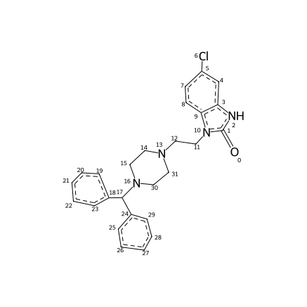 O=c1[nH]c2cc(Cl)ccc2n1CCN1CCN(C(c2ccccc2)c2ccccc2)CC1